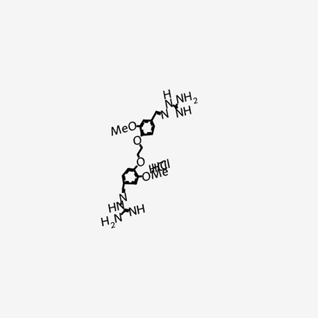 COc1cc(/C=N/NC(=N)N)ccc1OCCOc1ccc(/C=N/NC(=N)N)cc1OC.Cl.Cl